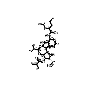 CCCC(CCC)C(=O)Nc1ncnc2c([C@@H]3N[C@H](CO)[C@@H](OC(=O)C(C)C)[C@H]3OC(=O)C(C)C)c[nH]c12